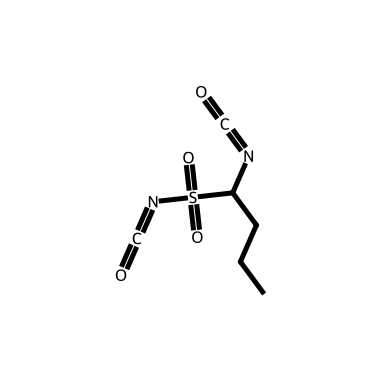 CCCC(N=C=O)S(=O)(=O)N=C=O